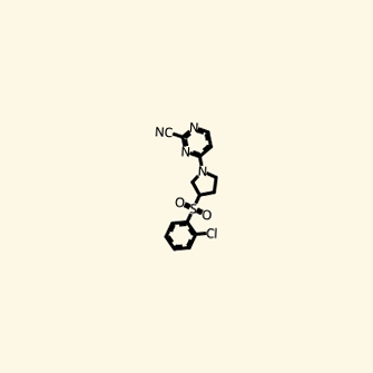 N#Cc1nccc(N2CCC(S(=O)(=O)c3ccccc3Cl)C2)n1